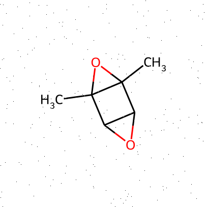 CC12OC1(C)C1OC12